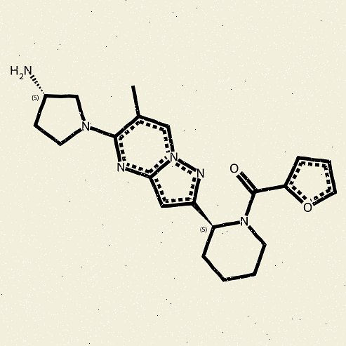 Cc1cn2nc([C@@H]3CCCCN3C(=O)c3ccco3)cc2nc1N1CC[C@H](N)C1